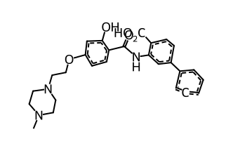 CN1CCN(CCOc2ccc(C(=O)Nc3cc(-c4ccccc4)ccc3C(=O)O)c(O)c2)CC1